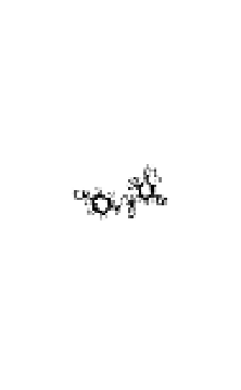 Cn1cc(Br)cc(C(=O)OCc2ccc(Cl)cc2)c1=O